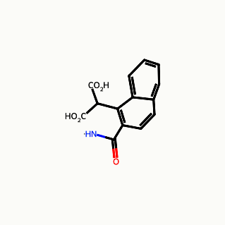 [NH]C(=O)c1ccc2ccccc2c1C(C(=O)O)C(=O)O